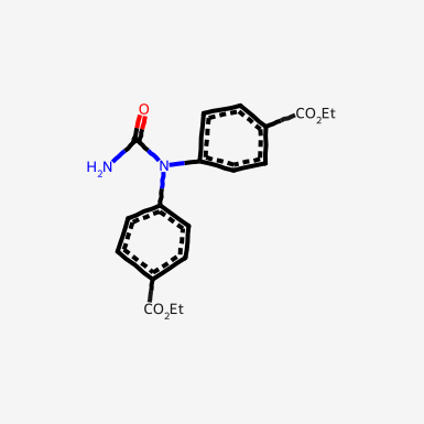 CCOC(=O)c1ccc(N(C(N)=O)c2ccc(C(=O)OCC)cc2)cc1